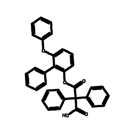 O=C(O)C(C(=O)Oc1cccc(Oc2ccccc2)c1-c1ccccc1)(c1ccccc1)c1ccccc1